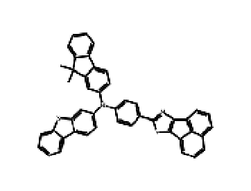 CC1(C)c2ccccc2-c2ccc(N(c3ccc(-c4nc5c(s4)-c4cccc6cccc-5c46)cc3)c3ccc4c(c3)sc3ccccc34)cc21